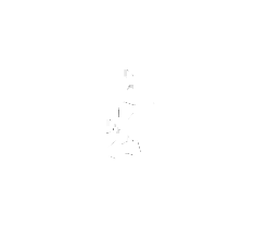 C[C@@]1(Oc2cc(NS(=O)(=O)c3cccc4cccnc34)ccc2C(F)(F)F)CCNC1